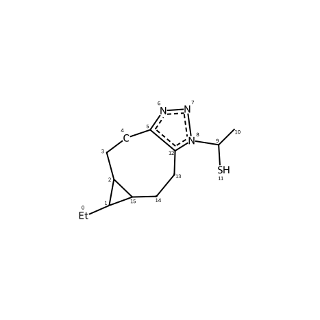 CCC1C2CCc3nnn(C(C)S)c3CCC12